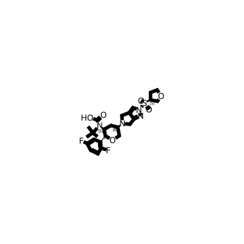 CC(C)(C)N(C(=O)O)[C@H]1C[C@@H](N2Cc3cn(S(=O)(=O)[C@H]4CCOC4)nc3C2)CO[C@@H]1c1cc(F)ccc1F